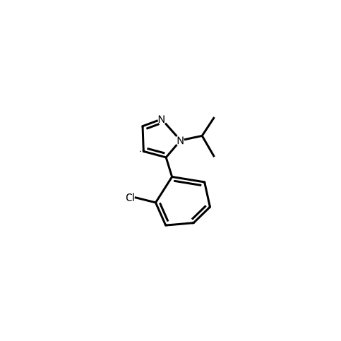 CC(C)n1nc[c]c1-c1ccccc1Cl